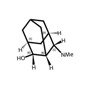 CN[C@H]1[C@@H]2CC3C[C@@H](C2)[C@@H](O)[C@@H]1C3